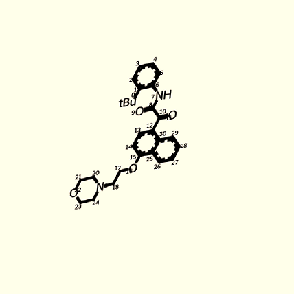 CC(C)(C)c1ccccc1NC(=O)C(=O)c1ccc(OCCN2CCOCC2)c2ccccc12